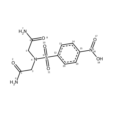 NC(=O)CN(CC(N)=O)S(=O)(=O)c1ccc([N+](=O)O)cc1